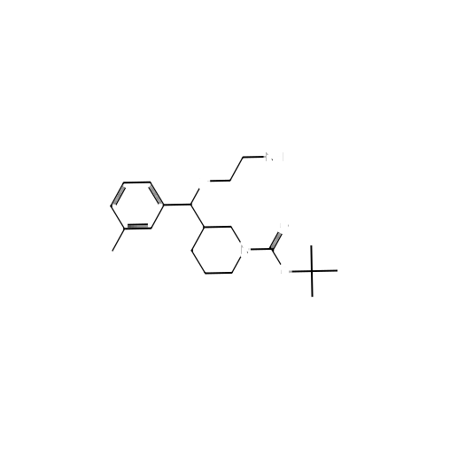 Cc1cccc(C(OCCN)C2CCCN(C(=O)OC(C)(C)C)C2)c1